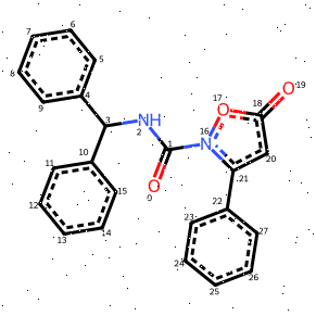 O=C(NC(c1ccccc1)c1ccccc1)n1oc(=O)cc1-c1ccccc1